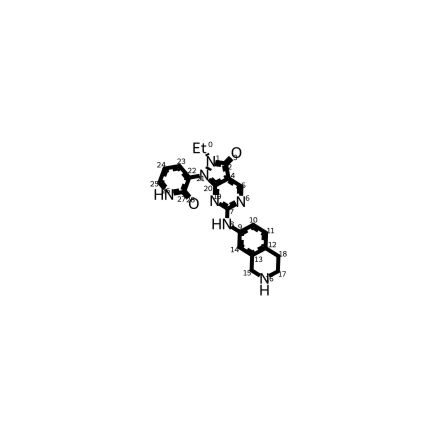 CCn1c(=O)c2cnc(Nc3ccc4c(c3)CNCC4)nc2n1-c1ccc[nH]c1=O